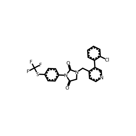 O=C1CN(Cc2ccncc2-c2ccccc2Cl)C(=O)N1c1ccc(SC(F)(F)F)cc1